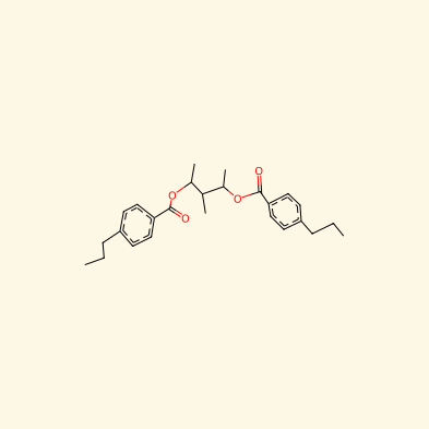 CCCc1ccc(C(=O)OC(C)C(C)C(C)OC(=O)c2ccc(CCC)cc2)cc1